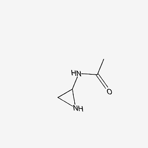 CC(=O)NC1CN1